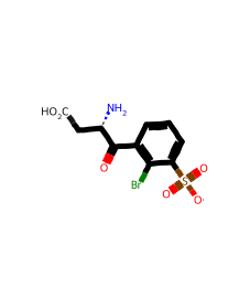 N[C@@H](CC(=O)O)C(=O)c1cccc(S([O])(=O)=O)c1Br